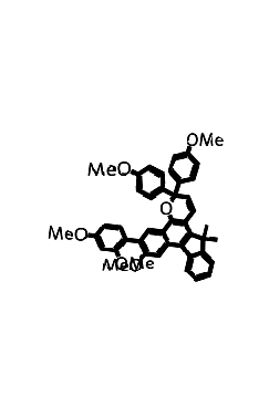 COc1ccc(C2(c3ccc(OC)cc3)C=Cc3c4c(c5cc(OC)c(-c6ccc(OC)cc6OC)cc5c3O2)-c2ccccc2C4(C)C)cc1